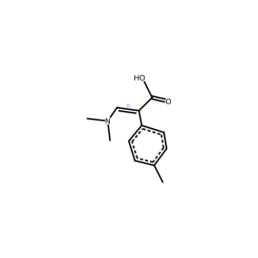 Cc1ccc(/C(=C\N(C)C)C(=O)O)cc1